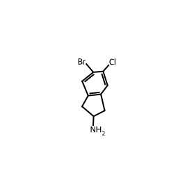 NC1Cc2cc(Cl)c(Br)cc2C1